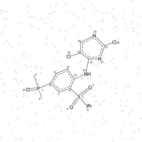 CC(C)S(=O)(=O)c1cc(P(C)(C)=O)ccc1Nc1nc(Cl)ncc1Cl